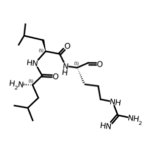 CC(C)C[C@H](NC(=O)[C@@H](N)CC(C)C)C(=O)N[C@H](C=O)CCCNC(=N)N